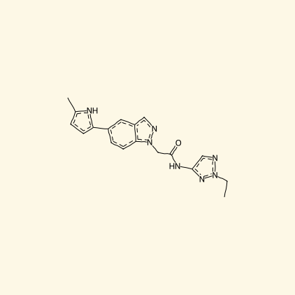 CCn1ncc(NC(=O)Cn2ncc3cc(-c4ccc(C)[nH]4)ccc32)n1